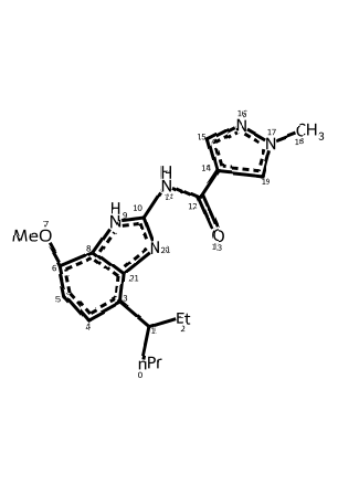 CCCC(CC)c1ccc(OC)c2[nH]c(NC(=O)c3cnn(C)c3)nc12